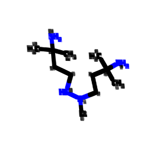 CCN(CCC(C)(C)N)NCCC(C)(C)N